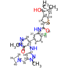 Cn1nc(Nc2c(-c3ccc(F)c(NC(=O)c4cc5c(s4)CC(C)(C)C5O)c3)cnn(C)c2=O)cc1CN1CCC1